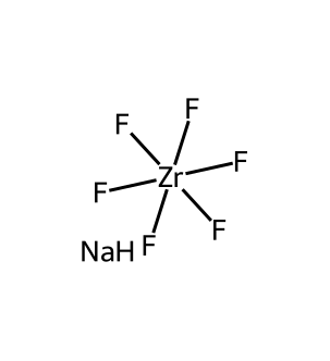 [F][Zr]([F])([F])([F])([F])[F].[NaH]